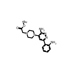 CC(C)(C)OC(=O)CN1CCN(c2cc(-c3ccccc3N)nnc2N)CC1